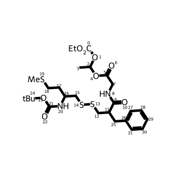 CCOC(=O)OC(C)OC(=O)CNC(=O)C(CSSCC(CCSC)NC(=O)OC(C)(C)C)Cc1ccccc1